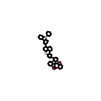 C1=Cc2c(-c3ccc4c(c3)c3ccccc3n4-c3ccccc3)ccc3c2C(C1)c1cc(-c2cccc4c2-c2ccccc2C42c4ccccc4-c4cccc5cccc2c45)ccc1O3